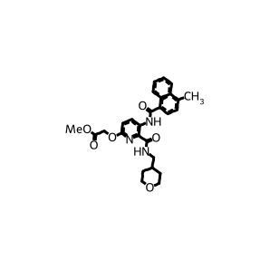 COC(=O)COc1ccc(NC(=O)c2ccc(C)c3ccccc23)c(C(=O)NCC2CCOCC2)n1